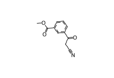 COC(=O)c1cccc(C(=O)CC#N)c1